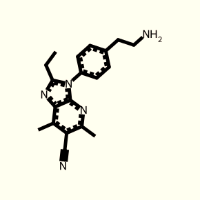 CCc1nc2c(C)c(C#N)c(C)nc2n1-c1ccc(CCN)cc1